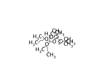 CCCCC(CC)OCC1(COC(CC)CCCC)COc2c(-c3cc(C(C)(C)C)cs3)sc(C(C)(C)C)c2OC1